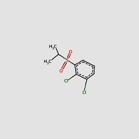 CC(C)S(=O)(=O)c1cccc(Cl)c1Cl